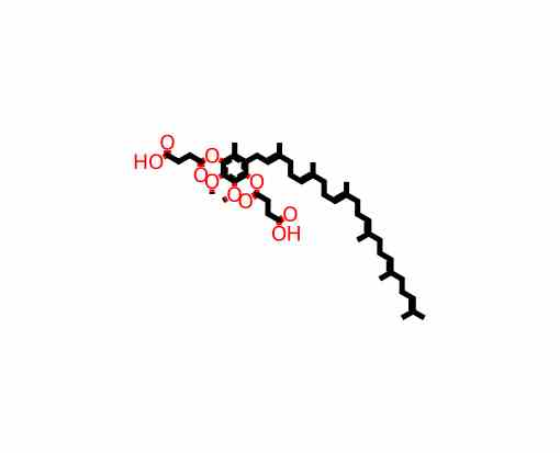 COc1c(OC(=O)CCC(=O)O)c(C)c(C/C=C(\C)CC/C=C(\C)CC/C=C(\C)CC/C=C(\C)CC/C=C(\C)CCC=C(C)C)c(OC(=O)CCC(=O)O)c1OC